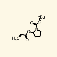 C=CC(=O)OC1CCCN1C(=O)OC(C)(C)C